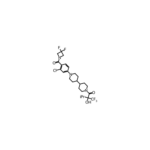 CC(C)C(O)(C(=O)N1CCC(C2CCN(c3ccc(C(=O)N4CC(F)(F)C4)c(Cl)c3)CC2)CC1)C(F)(F)F